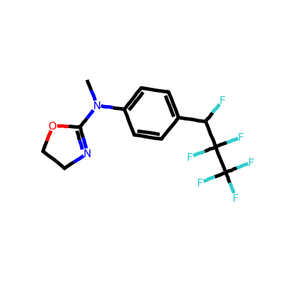 CN(C1=NCCO1)c1ccc(C(F)C(F)(F)C(F)(F)F)cc1